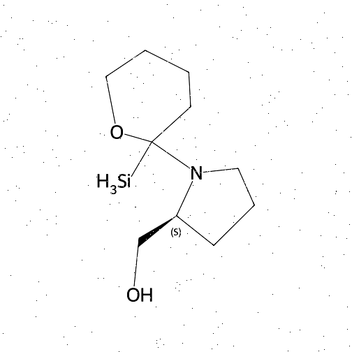 OC[C@@H]1CCCN1C1([SiH3])CCCCO1